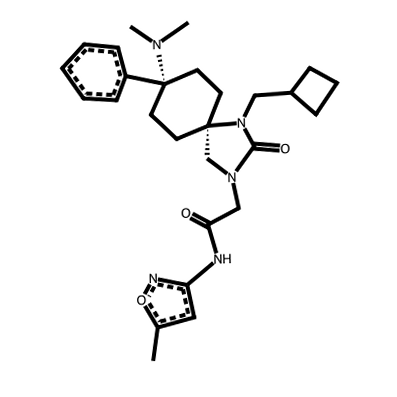 Cc1cc(NC(=O)CN2C[C@]3(CC[C@@](c4ccccc4)(N(C)C)CC3)N(CC3CCC3)C2=O)no1